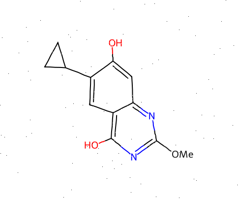 COc1nc(O)c2cc(C3CC3)c(O)cc2n1